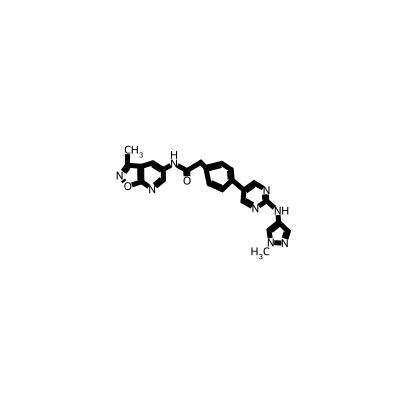 Cc1noc2ncc(NC(=O)Cc3ccc(-c4cnc(Nc5cnn(C)c5)nc4)cc3)cc12